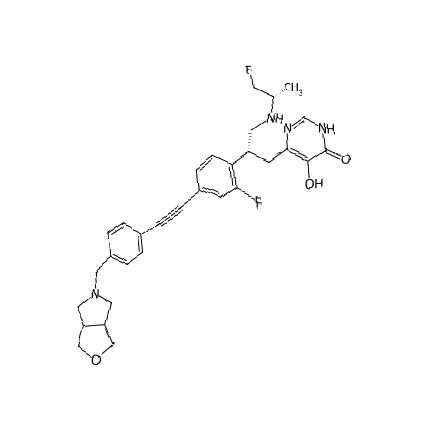 C[C@@H](CF)NC[C@H](Cc1nc[nH]c(=O)c1O)c1ccc(C#Cc2ccc(CN3CC4COCC4C3)cc2)cc1F